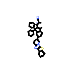 CC1=C(/C=C(\C)C#N)C(c2ccccc2)(c2ccccc2)c2cc(-c3ccc4nc5c6ccccc6sc5n4c3)ccc21